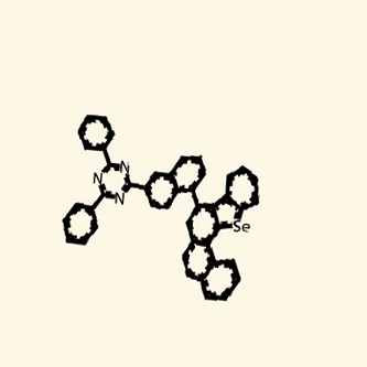 c1ccc(-c2nc(-c3ccccc3)nc(-c3ccc4c(-c5cc6ccc7ccccc7c6c6[se]c7ccccc7c56)cccc4c3)n2)cc1